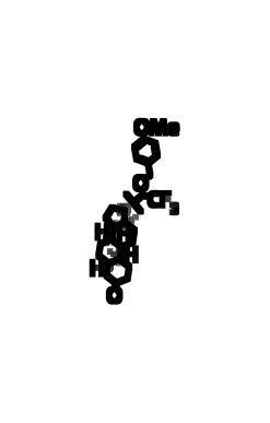 COc1ccc(COC(C(F)(F)F)C(C)(C)[C@H]2CC[C@H]3[C@@H]4CC[C@@H]5CC(=O)CC[C@]5(C)[C@H]4CC[C@]23C)cc1